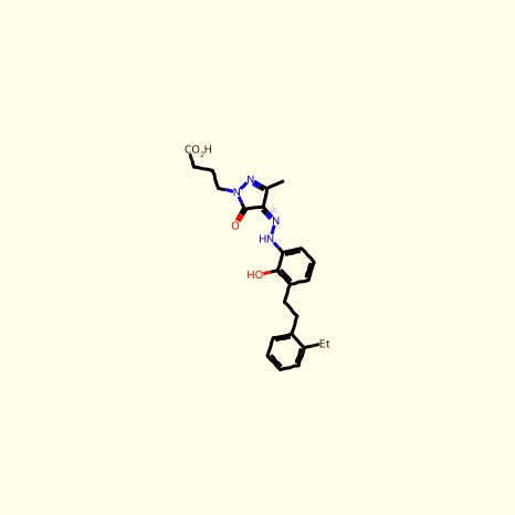 CCc1ccccc1CCc1cccc(N/N=C2\C(=O)N(CCCC(=O)O)N=C2C)c1O